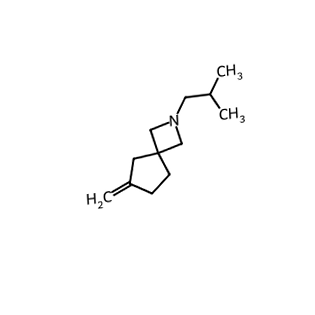 C=C1CCC2(C1)CN(CC(C)C)C2